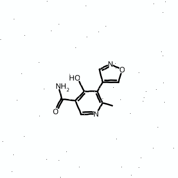 Cc1ncc(C(N)=O)c(O)c1-c1cnoc1